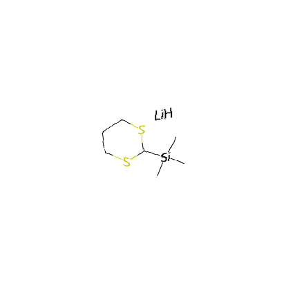 C[Si](C)(C)C1SCCCS1.[LiH]